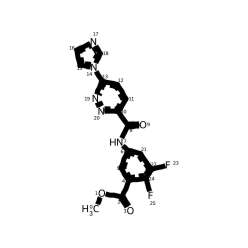 COC(=O)c1cc(NC(=O)c2ccc(-n3ccnc3)nn2)cc(F)c1F